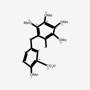 COc1ccc(Cc2c(C)c(OC)c(OC)c(OC)c2OC)cc1C(=O)O